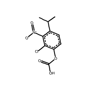 CC(C)c1ccc(OC(=O)O)c(Cl)c1[N+](=O)[O-]